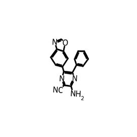 N#Cc1nc(-c2ccc3ncoc3c2)c(-c2ccccc2)nc1N